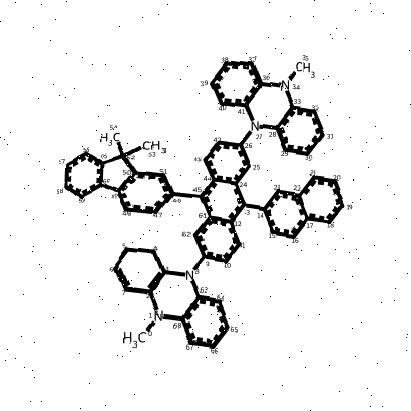 CN1C2=C(CCC=C2)N(c2ccc3c(-c4ccc5ccccc5c4)c4cc(N5c6ccccc6N(C)c6ccccc65)ccc4c(-c4ccc5c(c4)C(C)(C)c4ccccc4-5)c3c2)c2ccccc21